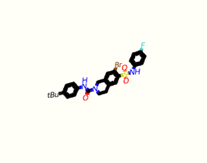 CC(C)(C)c1ccc(NC(=O)N2CCc3cc(S(=O)(=O)Nc4ccc(F)cc4)c(Br)cc3C2)cc1